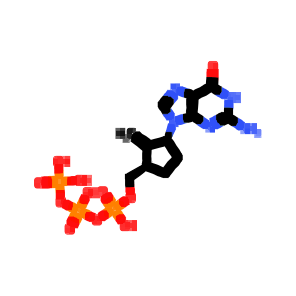 C=C1[C@H](COP(=O)(O)OP(=O)(O)OP(=O)(O)O)CC[C@@H]1n1cnc2c(=O)[nH]c(N)nc21